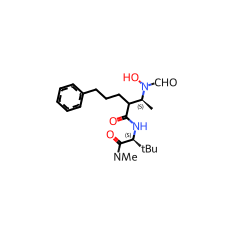 CNC(=O)[C@@H](NC(=O)C(CCCc1ccccc1)[C@H](C)N(O)C=O)C(C)(C)C